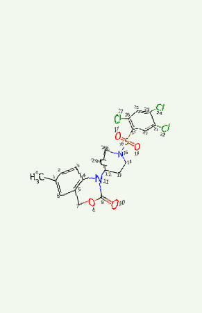 Cc1ccc2c(c1)COC(=O)N2C1CCN(S(=O)(=O)c2cc(Cl)c(Cl)cc2Cl)CC1